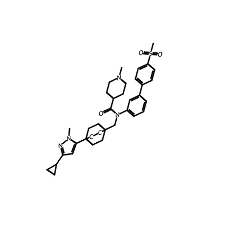 CN1CCC(C(=O)N(CC23CCC(c4cc(C5CC5)nn4C)(CC2)CC3)c2cccc(-c3ccc(S(C)(=O)=O)cc3)c2)CC1